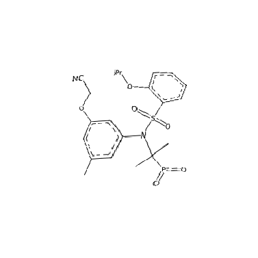 Cc1cc(OCC#N)cc(N(C(C)(C)P(=O)=O)S(=O)(=O)c2ccccc2OC(C)C)c1